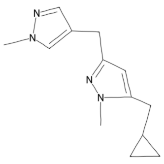 Cn1cc(Cc2cc(CC3CC3)n(C)n2)cn1